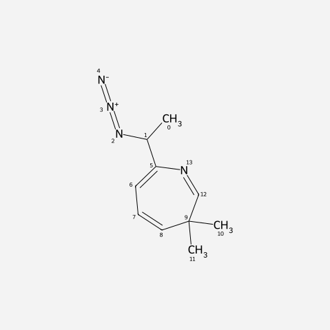 CC(N=[N+]=[N-])C1=CC=CC(C)(C)C=N1